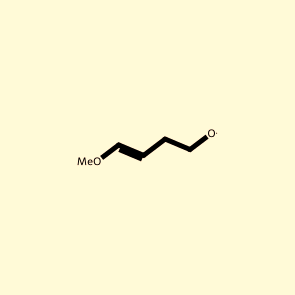 COC=CCC[O]